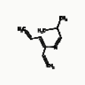 C=C/C=C(C=C)/N=C\I(C)C